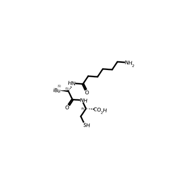 CC[C@H](C)[C@H](NC(=O)CCCCCN)C(=O)N[C@@H](CS)C(=O)O